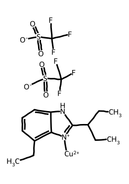 CCc1cccc2[nH]c(C(CC)CC)[n+]([Cu+2])c12.O=S(=O)([O-])C(F)(F)F.O=S(=O)([O-])C(F)(F)F